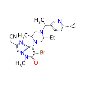 CC[C@@H]1CN(c2c(Br)c(=O)n(C)n3cc(CC#N)nc23)[C@@H](C)CN1C(C)c1ccc(C2CC2)nc1